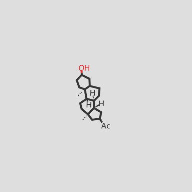 CC(=O)C1C[C@H]2[C@@H]3CCC4CC(O)CC[C@]4(C)[C@H]3CC[C@]2(C)C1